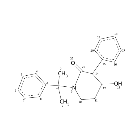 CC(C)(c1ccccc1)N1CCC(O)C(c2ccccc2)C1=O